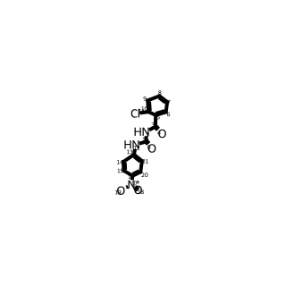 O=C(NC(=O)c1ccccc1Cl)Nc1ccc([N+](=O)[O-])cc1